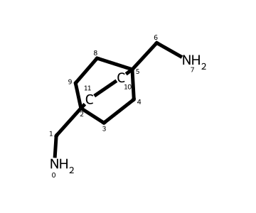 NCC12CCC(CN)(CC1)CC2